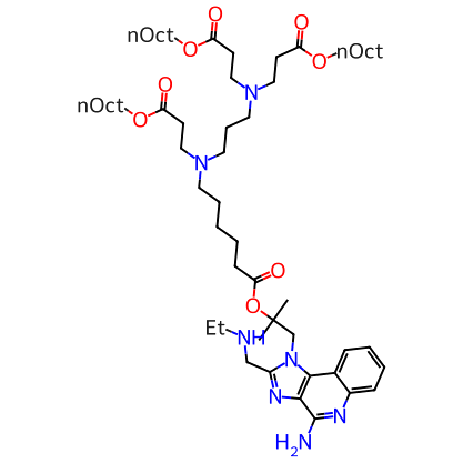 CCCCCCCCOC(=O)CCN(CCCCCC(=O)OC(C)(C)Cn1c(CNCC)nc2c(N)nc3ccccc3c21)CCCN(CCC(=O)OCCCCCCCC)CCC(=O)OCCCCCCCC